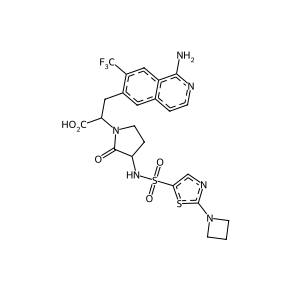 Nc1nccc2cc(CC(C(=O)O)N3CCC(NS(=O)(=O)c4cnc(N5CCC5)s4)C3=O)c(C(F)(F)F)cc12